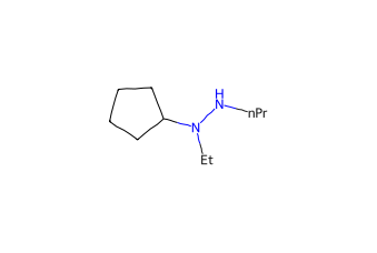 CCCNN(CC)C1CCCC1